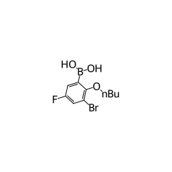 CCCCOc1c(Br)cc(F)cc1B(O)O